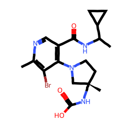 Cc1ncc(C(=O)NC(C)C2CC2)c(N2CC[C@](C)(NC(=O)O)C2)c1Br